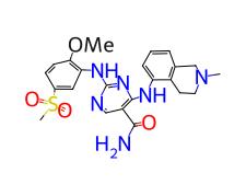 COc1ccc(S(C)(=O)=O)cc1Nc1ncc(C(N)=O)c(Nc2cccc3c2CCN(C)C3)n1